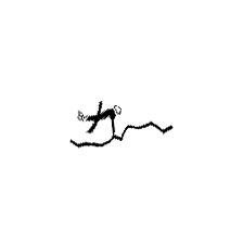 CCCCCCC(CCCC)C(=O)C(C)(C)Br